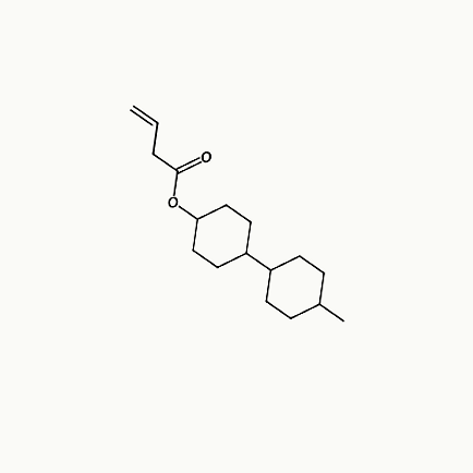 C=CCC(=O)OC1CCC(C2CCC(C)CC2)CC1